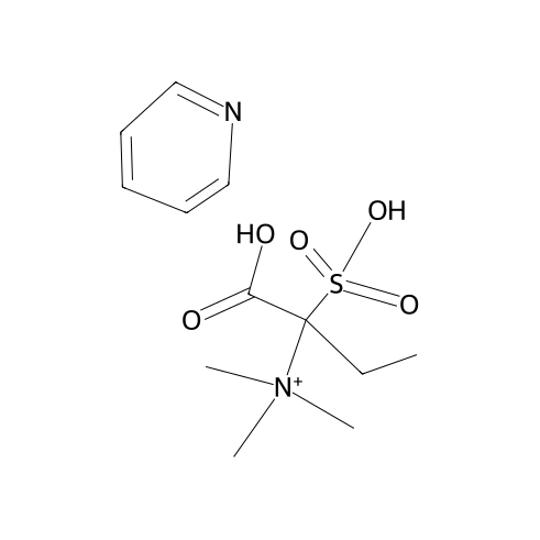 CCC(C(=O)O)([N+](C)(C)C)S(=O)(=O)O.c1ccncc1